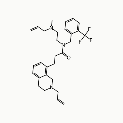 C=CCN(C)CCN(Cc1ccccc1C(F)(F)F)C(=O)CCc1cccc2c1CN(CC=C)CC2